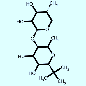 CC1O[C@@H](C(C)(C)C)C(O)C(O)[C@H]1O[C@@H]1OC[C@@H](C)C(O)C1O